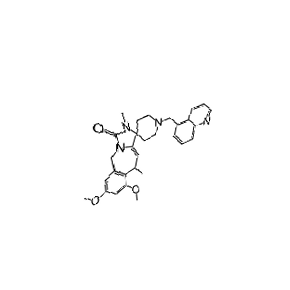 COc1cc2c(c(OC)c1)C(C)C=C1N(C2)C(=O)N(C)C12CCN(Cc1cccc3ncccc13)CC2